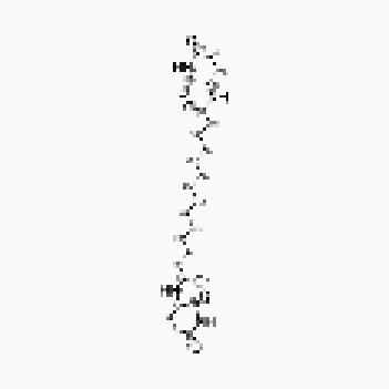 O=C1CCC(NC(=O)CCCCCCCCCCCCC(=O)NC2CCC(=O)NC2=O)C(=O)N1